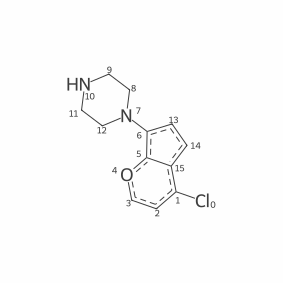 Clc1ccoc2c(N3CCNCC3)ccc1-2